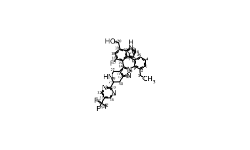 CCc1cccc(CC)c1-n1nc2c(c1-c1c(F)cc(CO)c3[nH]ccc13)CNC(c1ncc(C(F)(F)F)cn1)C2